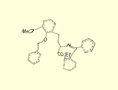 CCOC(=O)C(CCc1cccc(OC)c1OCc1ccccc1)N=C(c1ccccc1)c1ccccc1